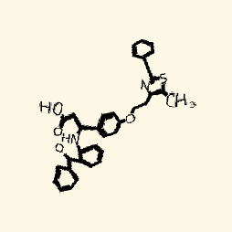 Cc1sc(-c2ccccc2)nc1CCOc1ccc(C(CC(=O)O)Nc2ccccc2C(=O)c2ccccc2)cc1